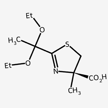 CCOC(C)(OCC)C1=N[C@](C)(C(=O)O)CS1